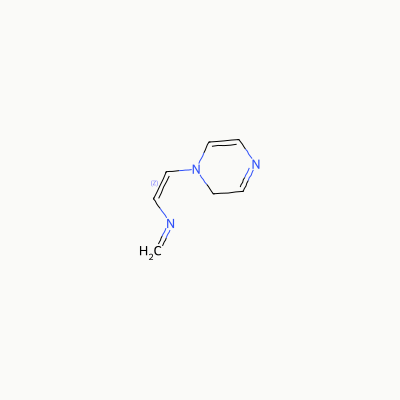 C=N/C=C\N1C=CN=CC1